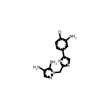 Nc1cc(-c2csc(Cn3ncc(N)c3N)n2)ccc1Cl